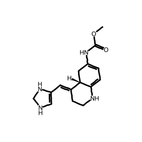 COC(=O)NC1=CC=C2NCC/C(=C\C3=CNCN3)[C@@H]2C1